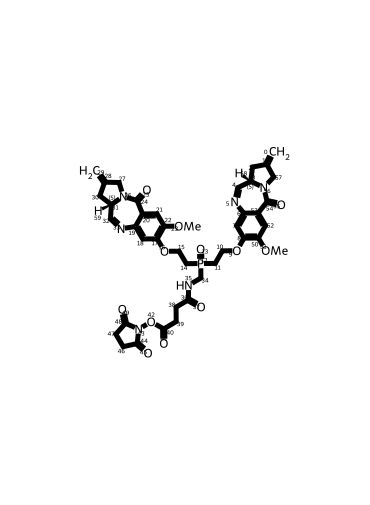 C=C1C[C@H]2C=Nc3cc(OCCP(=O)(CCOc4cc5c(cc4OC)C(=O)N4CC(=C)C[C@H]4C=N5)CNC(=O)CCC(=O)ON4C(=O)CCC4=O)c(OC)cc3C(=O)N2C1